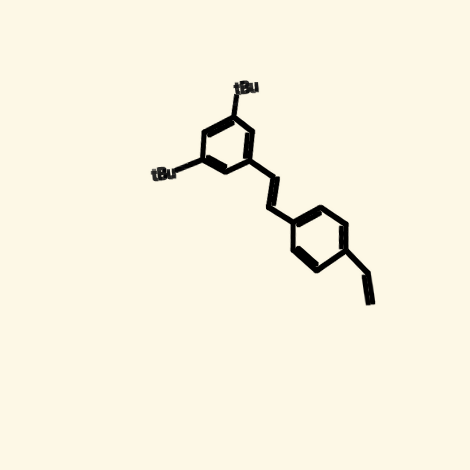 C=Cc1ccc(C=Cc2cc(C(C)(C)C)cc(C(C)(C)C)c2)cc1